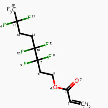 C=CC(=O)OCCC(F)(F)C(F)(F)CCC(F)(F)C(F)(F)F